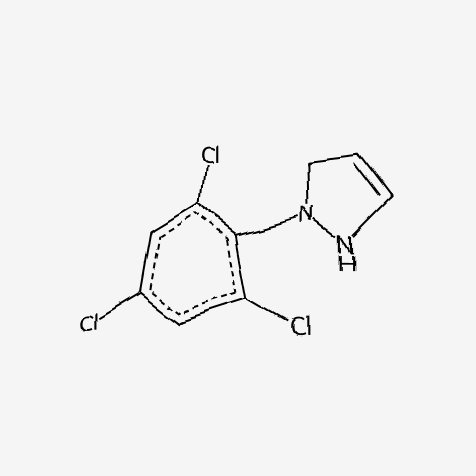 Clc1cc(Cl)c(N2CC=CN2)c(Cl)c1